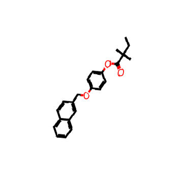 CCC(C)(C)C(=O)Oc1ccc(OCc2ccc3ccccc3c2)cc1